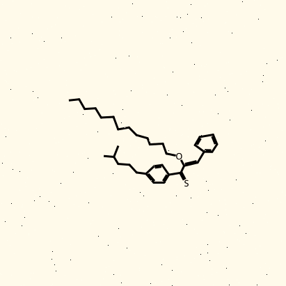 CCCCCCCCCCCCCOC(=Cc1ccccc1)C(=S)c1ccc(CCCC(C)C)cc1